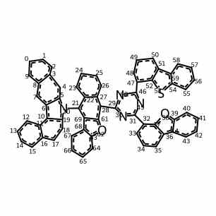 c1ccc2cc3c(cc2c1)c1c2ccccc2ccc1n3-c1c2ccccc2c(-c2nc(-c3cccc4c3oc3ccccc34)nc(-c3cccc4c3sc3ccccc34)n2)c2oc3ccccc3c12